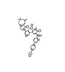 C=C1/C=C2/C(=O)N(c3cncc(-c4cc(Nc5ccc(N6CCN(C7COC7)CC6)cn5)c(=O)n(C)c4)c3CO)CCN2CCC(C)(C)C1